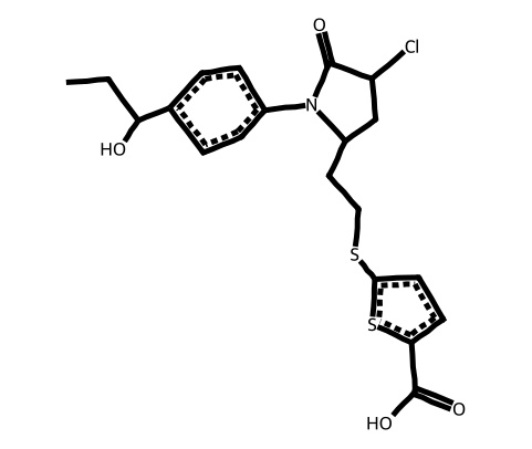 CCC(O)c1ccc(N2C(=O)C(Cl)CC2CCSc2ccc(C(=O)O)s2)cc1